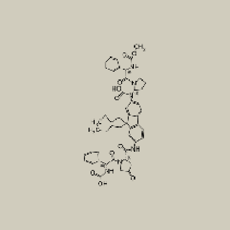 CCCCC1(CCCC)c2cc(NC(=O)[C@@H]3CC(=O)CN3C(=O)[C@H](NC(=O)O)c3ccccc3)ccc2-c2ccc(N(C(=O)O)[C@H]3CCCN3C(=O)[C@H](NC(=O)OC)c3ccccc3)cc21